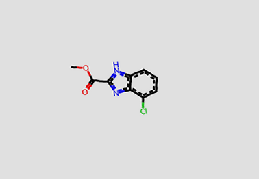 COC(=O)c1nc2c(Cl)cccc2[nH]1